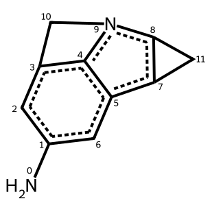 Nc1cc2c3c(c1)c1c(n3C2)C1